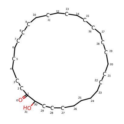 O=C1CCCCCCCCCCCCCCCCCCCCCCCCCCCCC1O